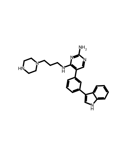 Nc1ncc(-c2cccc(-c3c[nH]c4ccccc34)c2)c(NCCCN2CCNCC2)n1